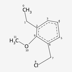 CCc1c[c]cc(CCl)c1OC